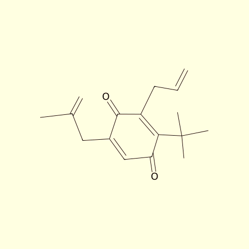 C=CCC1=C(C(C)(C)C)C(=O)C=C(CC(=C)C)C1=O